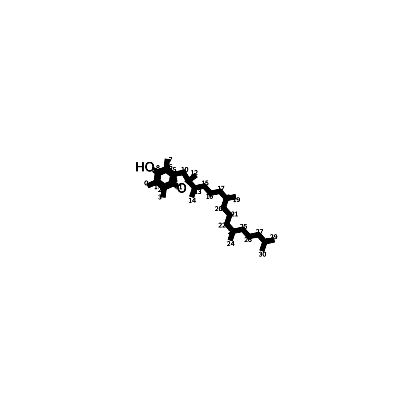 Cc1c(C)c2c(c(C)c1O)CC(C)(C(C)CCCC(C)CCCC(C)CCCC(C)C)O2